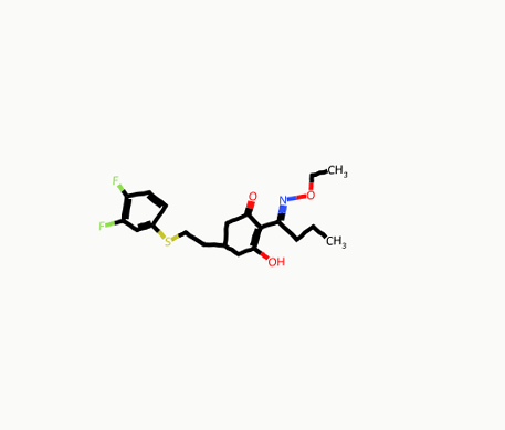 CCCC(=NOCC)C1=C(O)CC(CCSc2ccc(F)c(F)c2)CC1=O